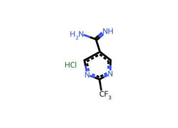 Cl.N=C(N)c1cnc(C(F)(F)F)nc1